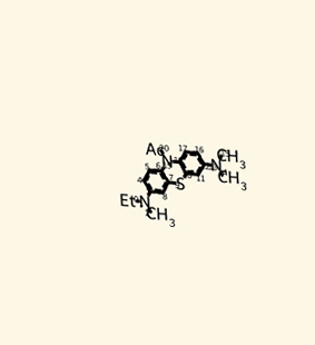 CCN(C)c1ccc2c(c1)Sc1cc(N(C)C)ccc1N2C(C)=O